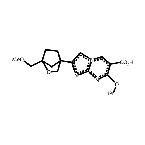 COCC12CCC(c3cn4cc(C(=O)O)c(OC(C)C)nc4n3)(CO1)C2